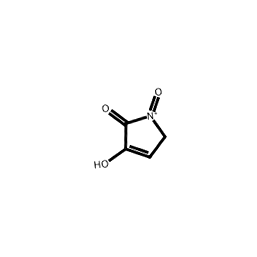 O=C1C(O)=CC[N+]1=O